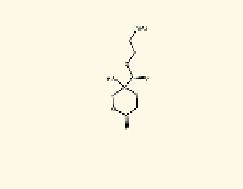 COCCOC(=O)C1(C)CCC(=O)OC1